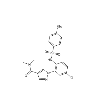 CN(C)C(=O)c1cnn(-c2cc(Cl)ccc2NS(=O)(=O)c2ccc(C(C)(C)C)cc2)c1